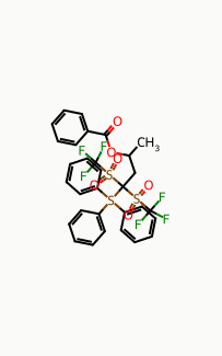 CC(CC(S(c1ccccc1)(c1ccccc1)c1ccccc1)(S(=O)(=O)C(F)(F)F)S(=O)(=O)C(F)(F)F)OC(=O)c1ccccc1